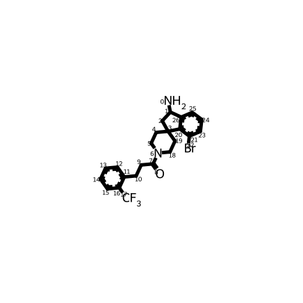 NC1CC2(CCN(C(=O)CCc3ccccc3C(F)(F)F)CC2)c2c(Br)cccc21